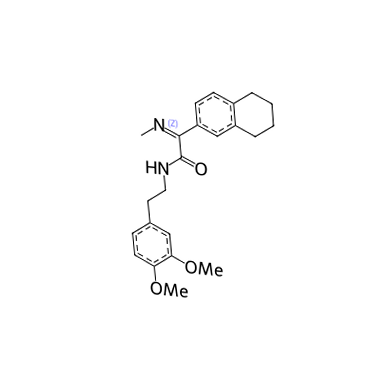 C/N=C(\C(=O)NCCc1ccc(OC)c(OC)c1)c1ccc2c(c1)CCCC2